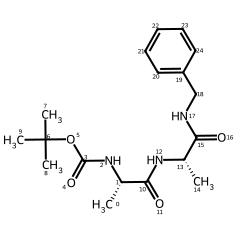 C[C@H](NC(=O)OC(C)(C)C)C(=O)N[C@@H](C)C(=O)NCc1ccccc1